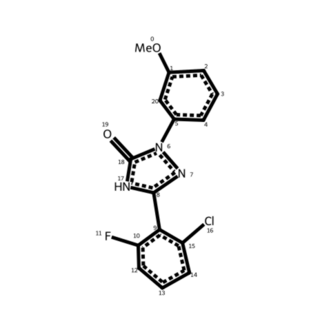 COc1cccc(-n2nc(-c3c(F)cccc3Cl)[nH]c2=O)c1